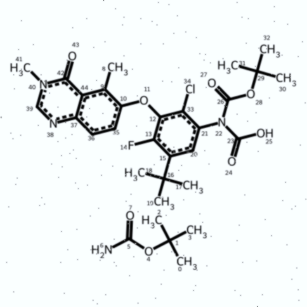 CC(C)(C)OC(N)=O.Cc1c(Oc2c(F)c(C(C)(C)C)cc(N(C(=O)O)C(=O)OC(C)(C)C)c2Cl)ccc2ncn(C)c(=O)c12